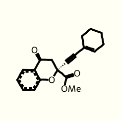 COC(=O)[C@]1(C#CC2=CCCCC2)CC(=O)c2ccccc2O1